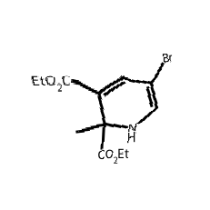 CCOC(=O)C1=CC(Br)=CNC1(C)C(=O)OCC